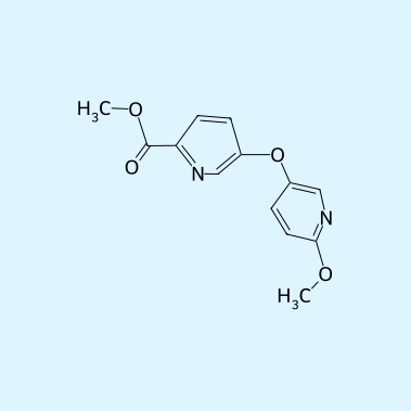 COC(=O)c1ccc(Oc2ccc(OC)nc2)cn1